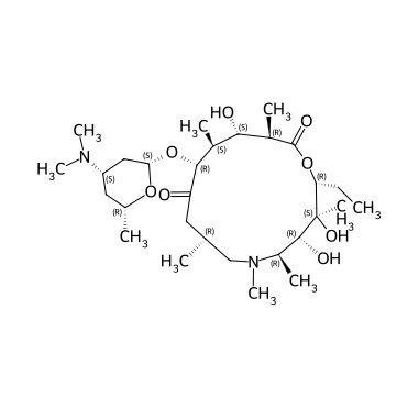 CC[C@H]1OC(=O)[C@H](C)[C@@H](O)[C@H](C)[C@@H](O[C@H]2C[C@@H](N(C)C)C[C@@H](C)O2)C(=O)C[C@@H](C)CN(C)[C@H](C)[C@@H](O)[C@]1(C)O